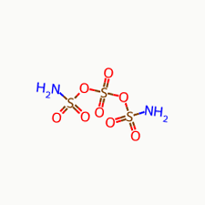 NS(=O)(=O)OS(=O)(=O)OS(N)(=O)=O